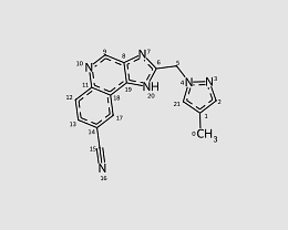 Cc1cnn(Cc2nc3cnc4ccc(C#N)cc4c3[nH]2)c1